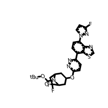 CC(C)(C)OC(=O)N1C2CC(Oc3ccc(-c4ccc(-n5ccc(F)n5)c5ncsc45)nn3)CC1C(F)(F)C2